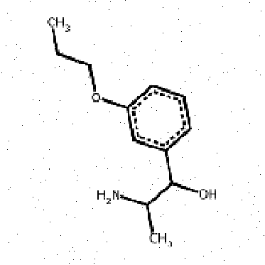 CCCOc1cccc(C(O)C(C)N)c1